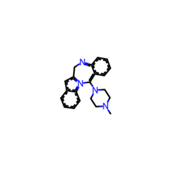 CN1CCN(C2=c3ccccc3=NCc3cc4ccccc4n32)CC1